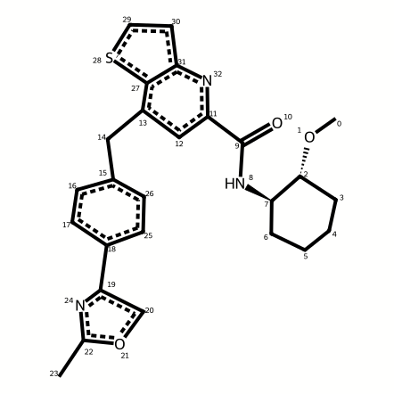 CO[C@@H]1CCCC[C@H]1NC(=O)c1cc(Cc2ccc(-c3coc(C)n3)cc2)c2sccc2n1